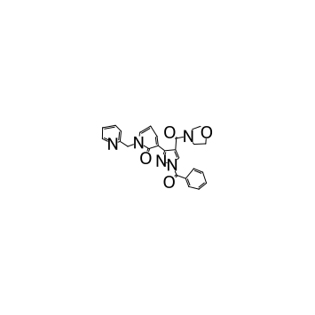 O=C(c1cn(C(=O)c2ccccc2)nc1-c1cccn(Cc2ccccn2)c1=O)N1CCOCC1